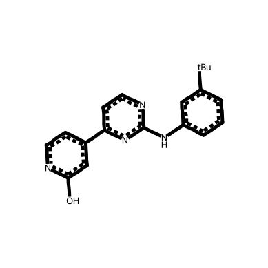 CC(C)(C)c1cccc(Nc2nccc(-c3ccnc(O)c3)n2)c1